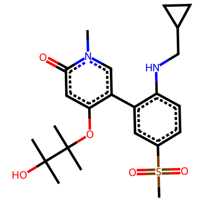 Cn1cc(-c2cc(S(C)(=O)=O)ccc2NCC2CC2)c(OC(C)(C)C(C)(C)O)cc1=O